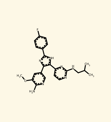 COc1cc(-c2nc(-c3ccc(F)cc3)[nH]c2-c2ccnc(NCC(C)C)n2)cnc1N